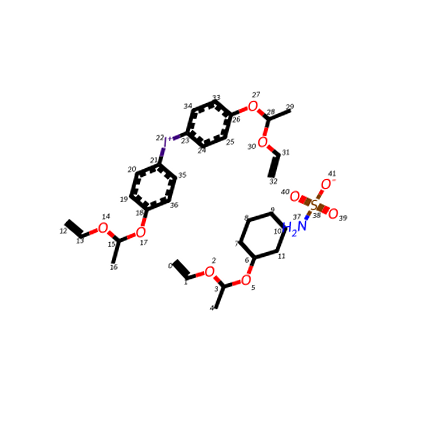 C=COC(C)OC1CCCCC1.C=COC(C)Oc1ccc([I+]c2ccc(OC(C)OC=C)cc2)cc1.NS(=O)(=O)[O-]